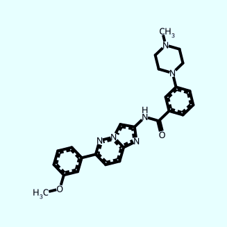 COc1cccc(-c2ccc3nc(NC(=O)c4cccc(N5CCN(C)CC5)c4)cn3n2)c1